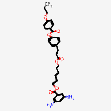 Nc1cc(N)cc(C(=O)OCCCCCCOC(=O)/C=C/c2ccc(OC(=O)c3ccc(OCCC(F)(F)F)cc3)cc2)c1